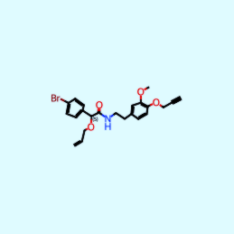 C#CCOc1ccc(CCNC(=O)[C@@H](OCC=C)c2ccc(Br)cc2)cc1OC